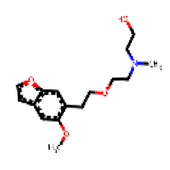 COc1cc2ccoc2cc1CCOCCN(C)CCO